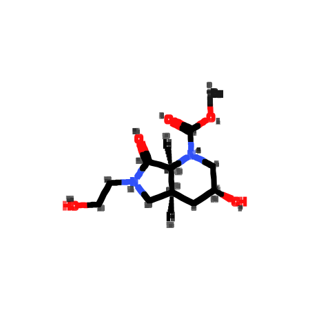 CC(C)(C)OC(=O)N1C[C@@H](O)C[C@H]2CN(CCO)C(=O)[C@H]21